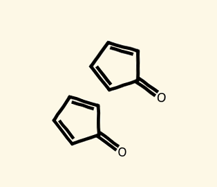 O=C1C=CC=C1.O=C1C=CC=C1